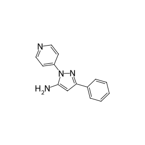 Nc1cc(-c2ccccc2)nn1-c1ccncc1